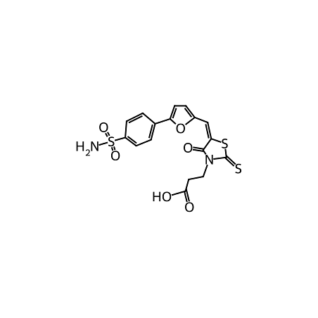 NS(=O)(=O)c1ccc(-c2ccc(C=C3SC(=S)N(CCC(=O)O)C3=O)o2)cc1